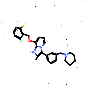 CC1=C(c2cccc(CN3CCCCC3)c2)N2C=CC=C(OCc3c(F)cccc3F)C2N1